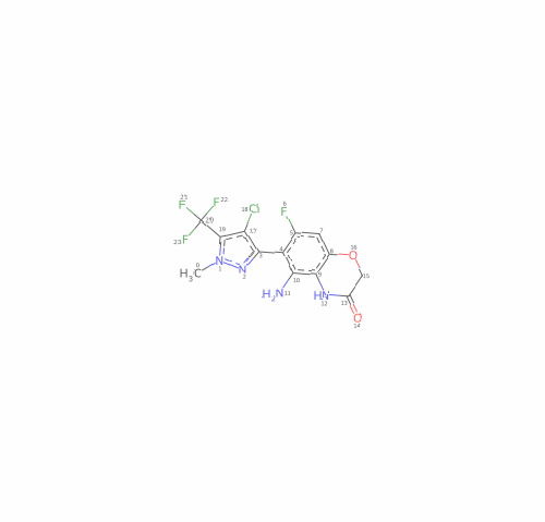 Cn1nc(-c2c(F)cc3c(c2N)NC(=O)CO3)c(Cl)c1C(F)(F)F